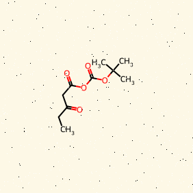 CCC(=O)CC(=O)OC(=O)OC(C)(C)C